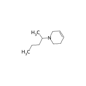 CCCC(C)N1CC=CCC1